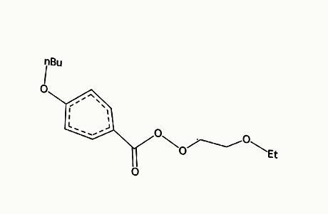 CCCCOc1ccc(C(=O)OO[CH]COCC)cc1